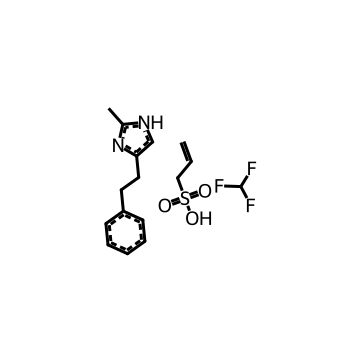 C=CCS(=O)(=O)O.Cc1nc(CCc2ccccc2)c[nH]1.FC(F)F